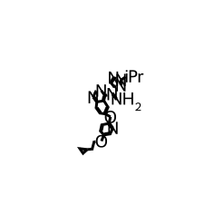 CC(C)n1ncc(N(N)c2ncnc3ccc(Oc4ccc(OCCC5CC5)cn4)cc23)n1